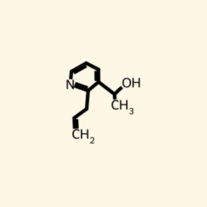 C=CCc1ncccc1C(C)O